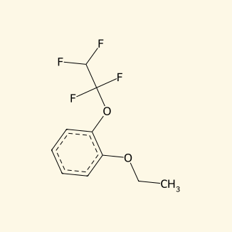 CCOc1ccccc1OC(F)(F)C(F)F